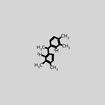 [2H]c1c(C(C)c2ccc(C)c(C)c2[2H])ccc(C)c1C